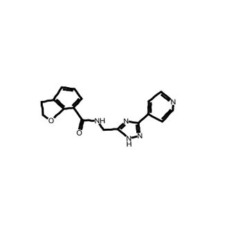 O=C(NCc1nc(-c2ccncc2)n[nH]1)c1cccc2c1OCC2